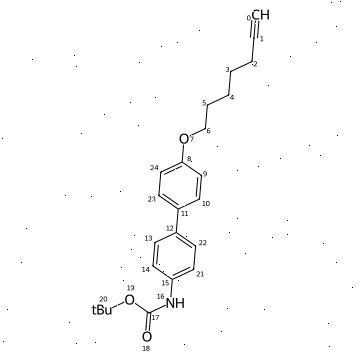 C#CCCCCCOc1ccc(-c2ccc(NC(=O)OC(C)(C)C)cc2)cc1